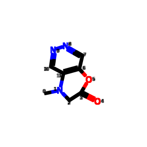 CN1CC(=O)Oc2cnncc21